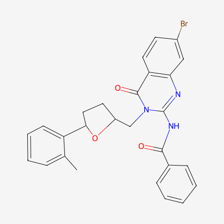 Cc1ccccc1C1CCC(Cn2c(NC(=O)c3ccccc3)nc3cc(Br)ccc3c2=O)O1